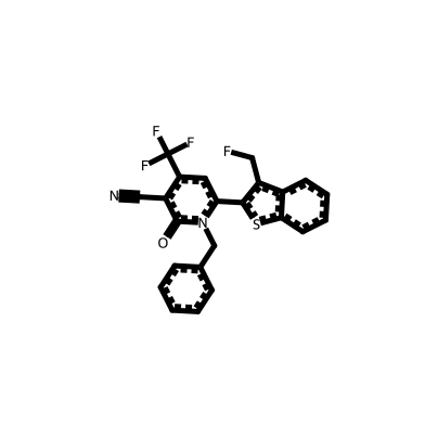 N#Cc1c(C(F)(F)F)cc(-c2sc3ccccc3c2CF)n(Cc2ccccc2)c1=O